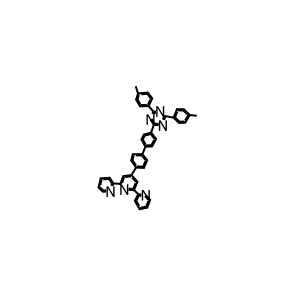 Cc1ccc(-c2nc(-c3ccc(C)cc3)nc(-c3ccc(-c4ccc(-c5cc(-c6ccccn6)nc(-c6ccccn6)c5)cc4)cc3)n2)cc1